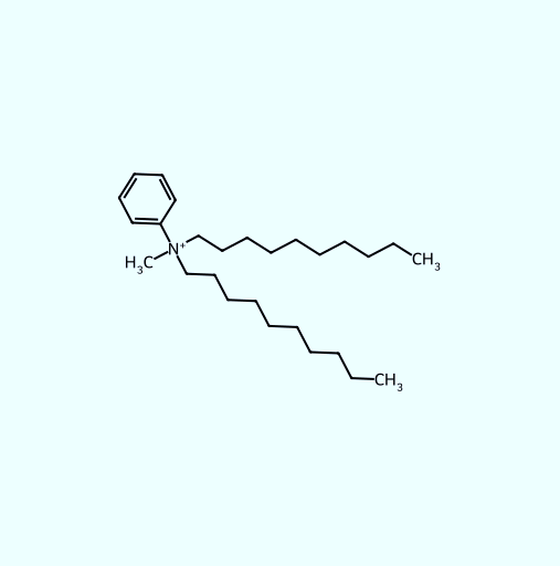 CCCCCCCCCC[N+](C)(CCCCCCCCCC)c1ccccc1